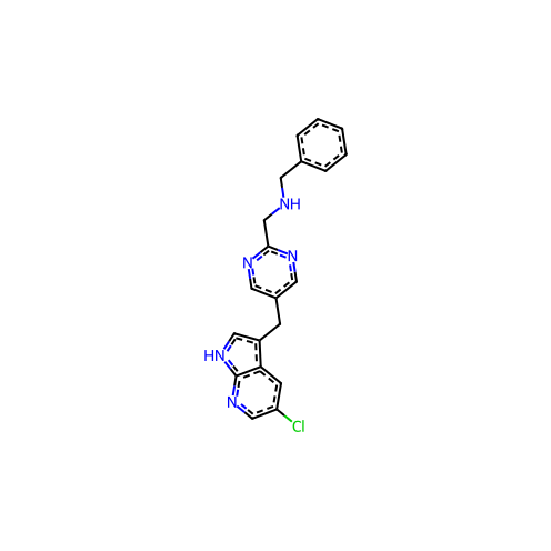 Clc1cnc2[nH]cc(Cc3cnc(CNCc4ccccc4)nc3)c2c1